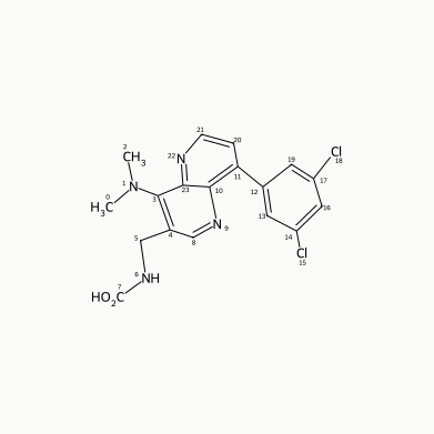 CN(C)c1c(CNC(=O)O)cnc2c(-c3cc(Cl)cc(Cl)c3)ccnc12